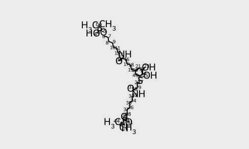 CC(C)P(O)OCCCCCCCNC(=O)CCCCc1cc(O)c(O)c(SCCC(=O)NCCCCCCO[PH](=O)C(C)C)c1